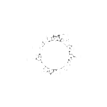 CCNCCC(C)C(O)C1C(=O)NC(CC)C(=O)N(C)CC(=O)N(C)C(CC(C)C)C(=O)NC(C(C)C)C(=O)N(C)C(CC(C)C)C(=O)NC(C)C(=O)NC(C)C(=O)N(C)C(CC(C)C)C(=O)N(C)C(CC(C)C)C(=O)N(C)C(C(C)C)C(=O)N1C